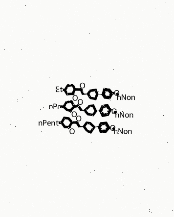 CCCCCCCCCOc1ccc([C@H]2CC[C@H](CC(=O)C3CCC(CC)CC3=O)CC2)cc1.CCCCCCCCCOc1ccc([C@H]2CC[C@H](CC(=O)C3CCC(CCC)CC3=O)CC2)cc1.CCCCCCCCCOc1ccc([C@H]2CC[C@H](CC(=O)C3CCC(CCCCC)CC3=O)CC2)cc1